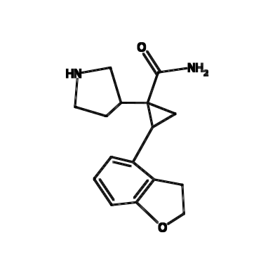 NC(=O)C1(C2CCNC2)CC1c1cccc2c1CCO2